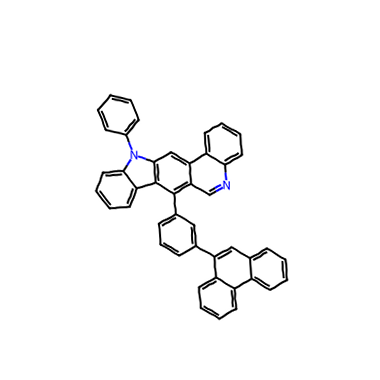 c1ccc(-n2c3ccccc3c3c(-c4cccc(-c5cc6ccccc6c6ccccc56)c4)c4cnc5ccccc5c4cc32)cc1